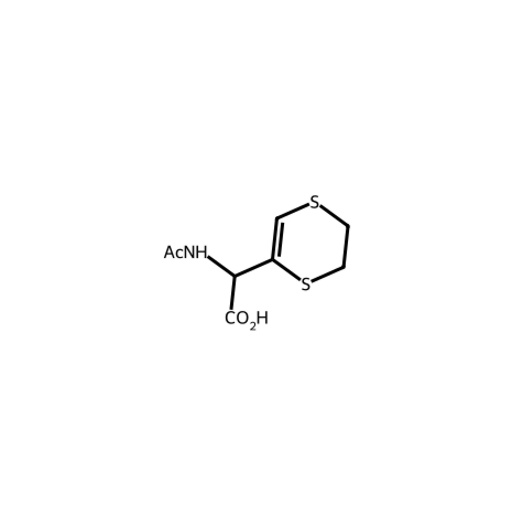 CC(=O)NC(C(=O)O)C1=CSCCS1